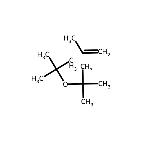 C=CC.CC(C)(C)OC(C)(C)C